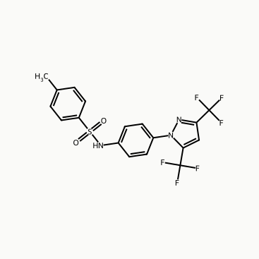 Cc1ccc(S(=O)(=O)Nc2ccc(-n3nc(C(F)(F)F)cc3C(F)(F)F)cc2)cc1